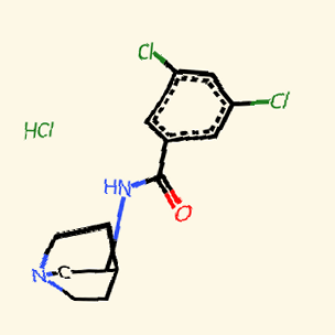 Cl.O=C(NC1CN2CCC1CC2)c1cc(Cl)cc(Cl)c1